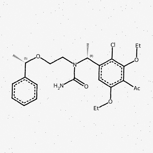 CCOc1cc([C@@H](C)N(CCO[C@@H](C)c2ccccc2)C(N)=O)c(Cl)c(OCC)c1C(C)=O